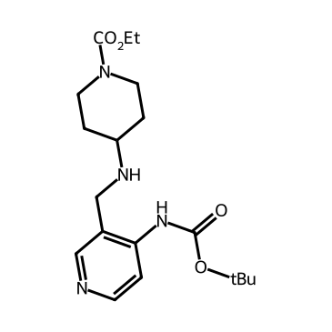 CCOC(=O)N1CCC(NCc2cnccc2NC(=O)OC(C)(C)C)CC1